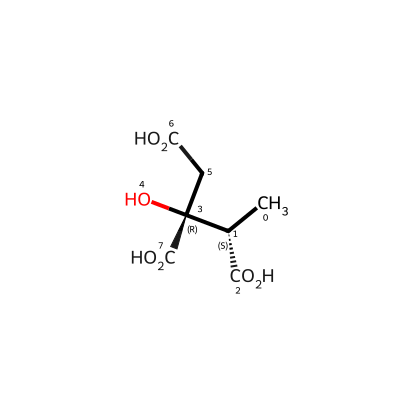 C[C@H](C(=O)O)[C@](O)(CC(=O)O)C(=O)O